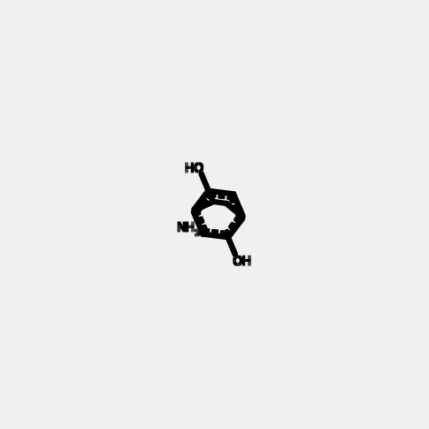 N.Oc1cc2ccc1CC2O